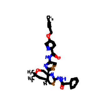 CC#CCOc1ccc(C(=O)Nc2csc([C@]34COC(C)(C)C[C@H]3CSC(NC(=O)c3ccccc3)=N4)n2)nc1